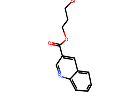 O=C(OCCCBr)c1cnc2ccccc2c1